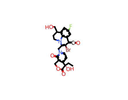 CC[C@@]1(O)C(=O)OCc2c1ccn(CC1=C(Br)C(=C=O)c3cc(F)cc4c3N1CCC4CO)c2=O